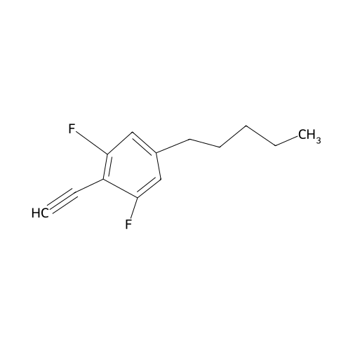 C#Cc1c(F)cc(CCCCC)cc1F